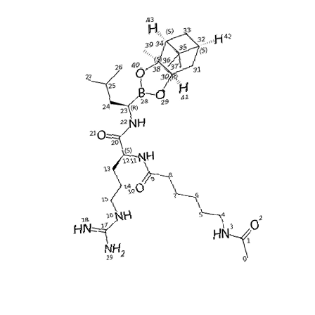 CC(=O)NCCCCCC(=O)N[C@@H](CCCNC(=N)N)C(=O)N[C@@H](CC(C)C)B1O[C@@H]2C[C@@H]3C[C@@H](C3(C)C)[C@]2(C)O1